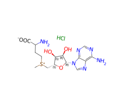 C[S+](CCC(N)C(=O)[O-])C[C@H]1O[C@@H](n2cnc3c(N)ncnc32)[C@H](O)[C@@H]1O.Cl